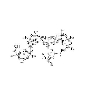 CO[Si](CCCOCC(F)(F)OC(F)(F)OC(F)(F)OC(F)(F)OC(F)(F)OC(F)(F)OC(F)(F)OC(F)(F)OC(F)(F)OC(F)(F)OC(F)(F)OC(F)(F)CO)(OC)OC